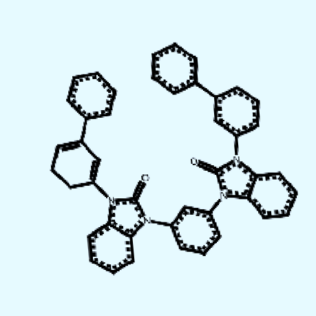 O=c1n(C2=CC(c3ccccc3)=CCC2)c2ccccc2n1-c1cccc(-n2c(=O)n(-c3cccc(-c4ccccc4)c3)c3ccccc32)c1